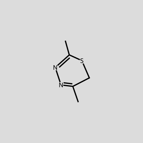 CC1=NN=C(C)SC1